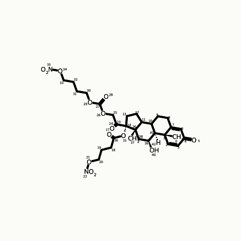 C[C@]12C=CC(=O)C=C1CCC1C3CC[C@](OC(=O)CCCO[N+](=O)[O-])(C(=O)COC(=O)OCCCCO[N+](=O)[O-])[C@@]3(C)C[C@H](O)[C@@H]12